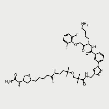 CC(C)(CCNC(=O)CCCC[C@H]1C[C@@H](NC(N)=O)CS1)OCC(C)(C)C(=O)NCc1cn(-c2cccc(C(=O)N[C@@H](CCCCN)C(=O)COc3c(F)cccc3F)c2)nn1